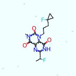 CC(F)c1nc2c(=O)n(C)c(=O)n(CCCC3(F)CC3)c2c(=O)[nH]1